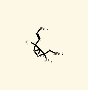 CCCC(C)C=CC1(C)N2N3C(C)(CC(C)CCC)C231